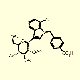 CC(=O)OC[C@H]1O[C@@H](c2cn(Cc3ccc(C(=O)O)cc3)c3c(Cl)cccc23)[C@H](OC(C)=O)[C@@H](OC(C)=O)[C@@H]1OC(C)=O